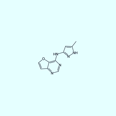 Cc1cc(Nc2ncnc3ccoc23)n[nH]1